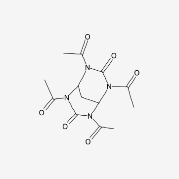 CC(=O)N1C(=O)N(C(C)=O)C2CC1N(C(C)=O)C(=O)N2C(C)=O